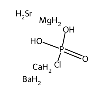 O=P(O)(O)Cl.[BaH2].[CaH2].[MgH2].[SrH2]